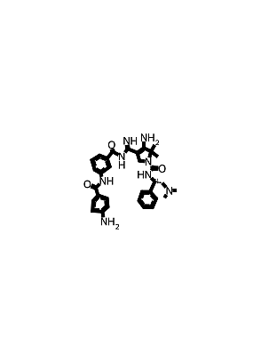 CN(C)C[C@@H](NC(=O)N1CC(C(=N)NC(=O)c2cccc(NC(=O)c3ccc(N)cc3)c2)=C(N)C1(C)C)c1ccccc1